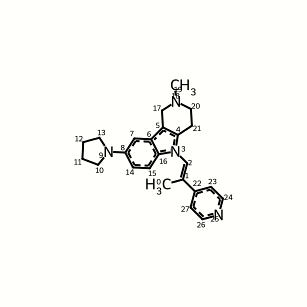 CC(=Cn1c2c(c3cc(N4CCCC4)ccc31)CN(C)CC2)c1ccncc1